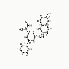 CNC(=O)c1cc(Nc2ncc3cc(C)ccc3n2)cc(-c2cccnc2)c1